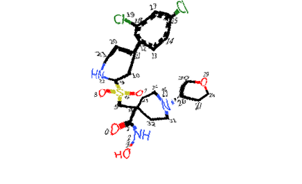 O=C(NO)C1(CS(=O)(=O)C2CC(c3ccc(Cl)cc3Cl)=CCN2)CCN([C@H]2CCOC2)CC1